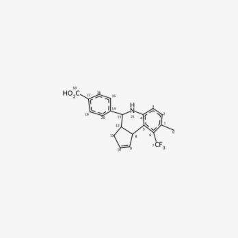 Cc1ccc2c(c1C(F)(F)F)C1C=CCC1C(c1ccc(C(=O)O)cc1)N2